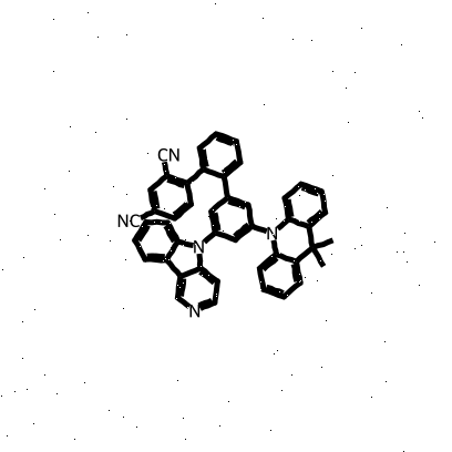 CC1(C)c2ccccc2N(c2cc(-c3ccccc3-c3ccc(C#N)cc3C#N)cc(-n3c4ccccc4c4cnccc43)c2)c2ccccc21